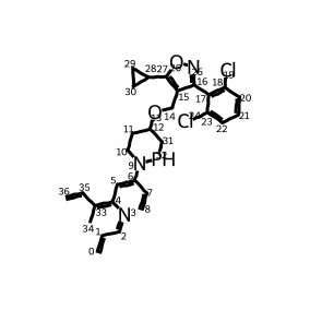 C=C\C=N/C(/C=C(\C=C)N1CCC(OCc2c(-c3c(Cl)cccc3Cl)noc2C2CC2)CP1)=C(\C)C=C